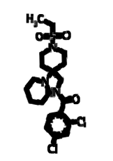 CCS(=O)(=O)N1CCC(CNC(=O)c2ccc(Cl)cc2Cl)(N2CCCCC2)CC1